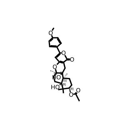 COc1ccc(-c2cc3c(c(=O)o2)C[C@]2(O)[C@@]4(C)CC[C@@H](OC(C)=O)C(C)(C)[C@]4(O)CC[C@@]2(C)O3)cc1